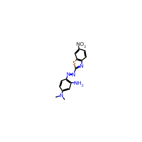 CN(C)c1ccc(N=Nc2nc3ccc([N+](=O)[O-])cc3s2)c(N)c1